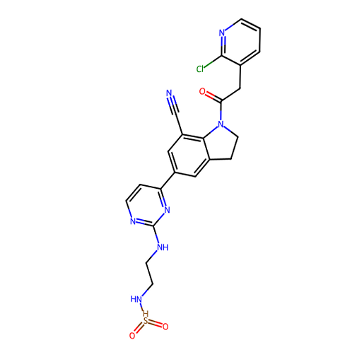 N#Cc1cc(-c2ccnc(NCCN[SH](=O)=O)n2)cc2c1N(C(=O)Cc1cccnc1Cl)CC2